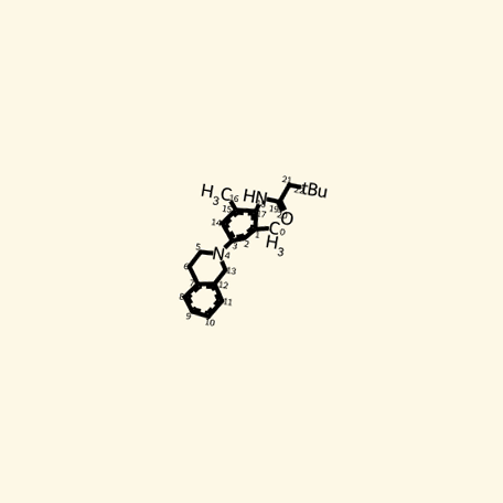 Cc1cc(N2CCc3ccccc3C2)cc(C)c1NC(=O)CC(C)(C)C